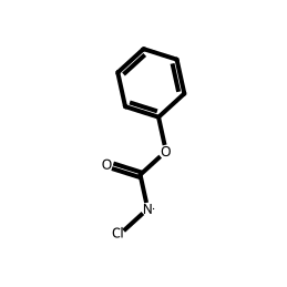 O=C([N]Cl)Oc1ccccc1